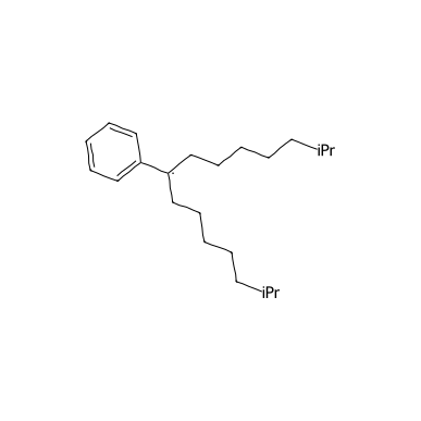 CC(C)CCCCC[C](CCCCCC(C)C)c1ccccc1